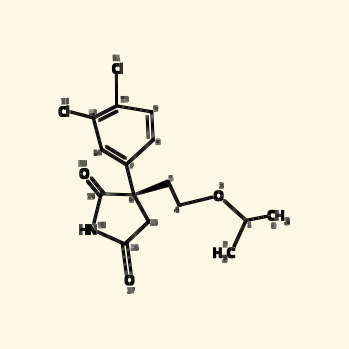 CC(C)OCC[C@@]1(c2ccc(Cl)c(Cl)c2)CC(=O)NC1=O